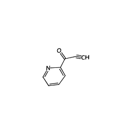 C#CC(=O)c1ccccn1